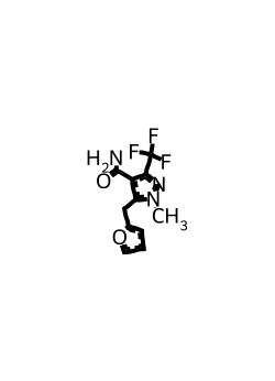 Cn1nc(C(F)(F)F)c(C(N)=O)c1Cc1ccco1